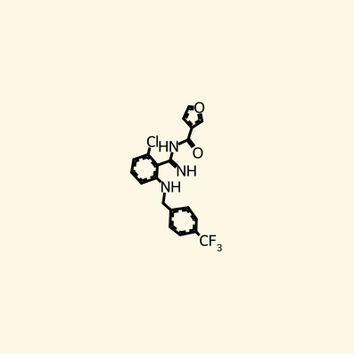 N=C(NC(=O)c1ccoc1)c1c(Cl)cccc1NCc1ccc(C(F)(F)F)cc1